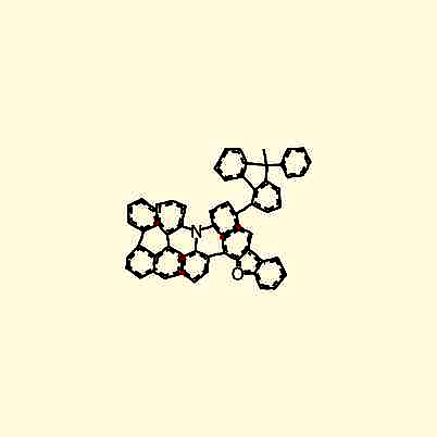 CC1(c2ccccc2)c2ccccc2-c2c(-c3ccc(N(c4ccccc4-c4cccc5c4oc4ccccc45)c4ccccc4-c4cccc5cccc(-c6ccccc6)c45)cc3)cccc21